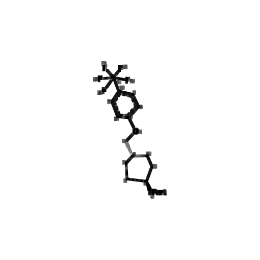 CCCCC[C@H]1CC[C@H](COc2ccc(S(F)(F)(F)(F)F)cc2)CC1